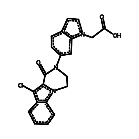 O=C(O)Cn1ccc2ccc(N3CCn4c(c(Cl)c5ccccc54)C3=O)cc21